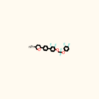 CCCC1CCC(c2ccc(-c3ccc(OCC(F)(F)Oc4ccc(F)c(F)c4)c(F)c3F)cc2)OC1